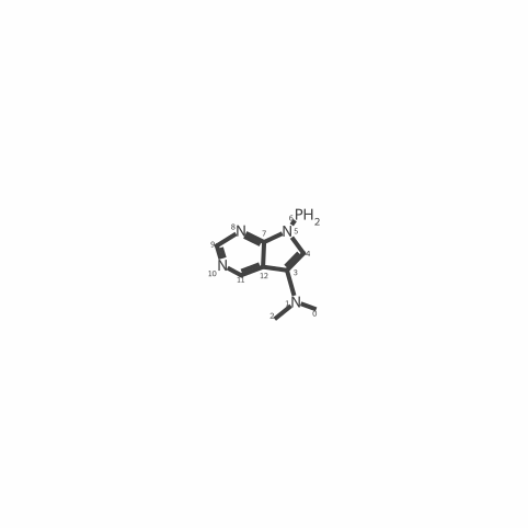 CN(C)c1cn(P)c2ncncc12